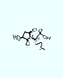 CSCC[C@@H](C(=O)O)N1C(=O)CC(O)C1=O